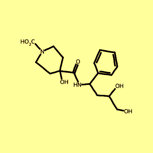 O=C(O)N1CCC(O)(C(=O)NC(CC(O)CO)c2ccccc2)CC1